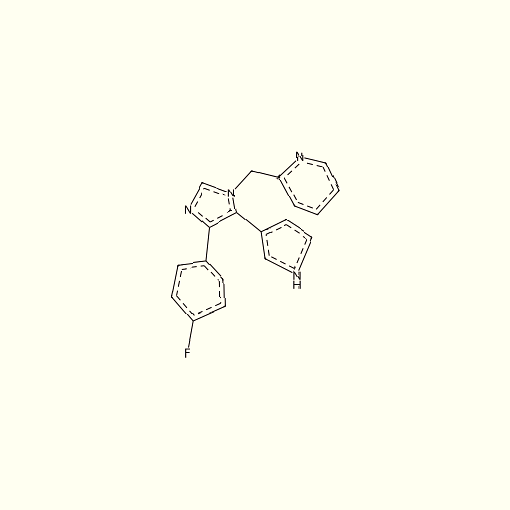 Fc1ccc(-c2ncn(Cc3ccccn3)c2-c2cc[nH]c2)cc1